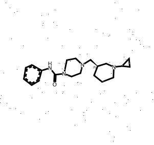 O=C(Nc1ccccc1)N1CCN(C[C@@H]2CCCN(C3CC3)C2)CC1